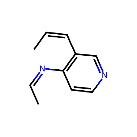 C/C=C\c1cnccc1/N=C\C